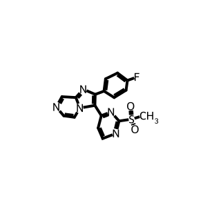 CS(=O)(=O)c1nccc(-c2c(-c3ccc(F)cc3)nc3cnccn23)n1